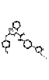 CC(Cc1ccc(Cl)cc1)/N=C(/C(=O)Nc1ccc(-c2cnn(C)c2)cc1)c1ccccc1